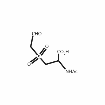 CC(=O)NC(CS(=O)(=O)CC=O)C(=O)O